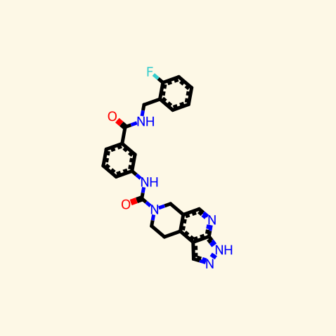 O=C(NCc1ccccc1F)c1cccc(NC(=O)N2CCc3c(cnc4[nH]ncc34)C2)c1